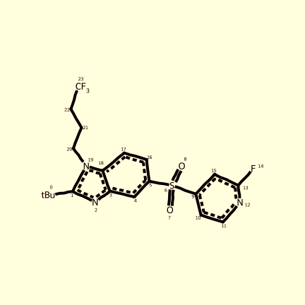 CC(C)(C)c1nc2cc(S(=O)(=O)c3ccnc(F)c3)ccc2n1CCCC(F)(F)F